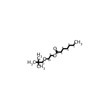 CCCCCCC(=O)OCCOCC(C)(C)C